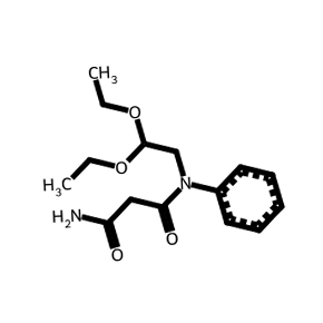 CCOC(CN(C(=O)CC(N)=O)c1ccccc1)OCC